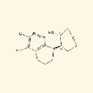 Cc1c(Cl)nnc2c1CCCN2[C@@H]1CCCC[C@H]1O